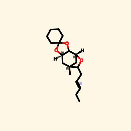 CC/C=C/CC1O[C@@H]2C[C@@]1(C)C[C@H]1OC3(CCCCC3)OC21